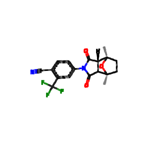 C[C@]12CC[C@](C)(O1)C1C(=O)N(c3ccc(C#N)c(C(F)(F)F)c3)C(=O)[C@@H]12